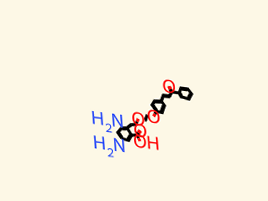 Nc1cc(N)c(CCOCCOc2ccc(C=CC(=O)c3ccccc3)cc2)c(C(=O)O)c1